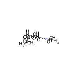 C=C(C)C(F)(F)c1cccc2[nH]c(Cn3cccc(NC(=O)CCC/C=C/C(=O)N(C)C)c3=O)nc12